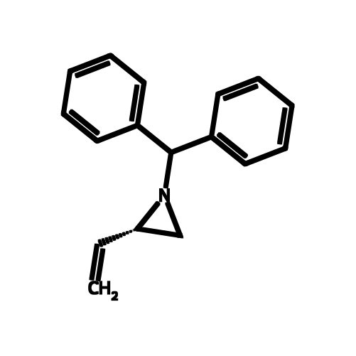 C=C[C@H]1CN1C(c1ccccc1)c1ccccc1